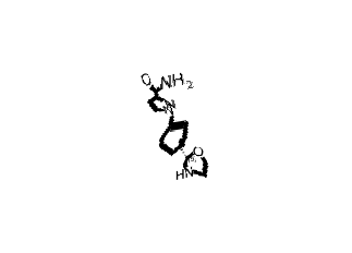 NC(=O)c1ccn(-c2ccc([C@H]3CNCCO3)cc2)n1